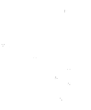 COCCCOc1cc(/C=C/c2cccc(Br)c2)cc(C(=O)Nc2cnccn2)c1